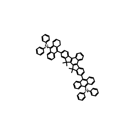 CC1(C)c2cc(-c3c4c(c(N(c5ccccc5)c5ccccc5)c5ccccc35)C=CCC4)ccc2-c2c1c1c(c3ccccc23)-c2ccc(-c3c4ccccc4c(N(c4ccccc4)c4ccccc4)c4ccccc34)cc2C1(C)C